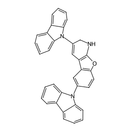 C1=C(n2c3ccccc3c3ccccc32)CNc2oc3ccc(-n4c5ccccc5c5ccccc54)cc3c21